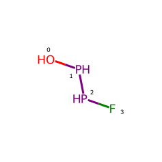 OPPF